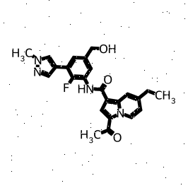 CCc1ccn2c(C(C)=O)cc(C(=O)Nc3cc(CO)cc(-c4cnn(C)c4)c3F)c2c1